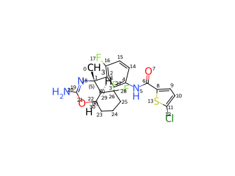 C[C@]1(c2cc(NC(=O)c3ccc(Cl)s3)ccc2F)N=C(N)O[C@@H]2CCCC(F)(F)[C@@H]21